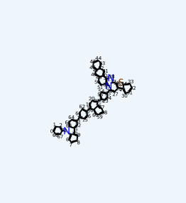 c1ccc(-n2c3ccccc3c3cc(-c4ccc(-c5ccc(-c6ccc(-c7cc8c9ccccc9sc8c8nc9c%10cc%11ccccc%11cc%10ccc9n78)cc6)c6ccccc56)cc4)ccc32)cc1